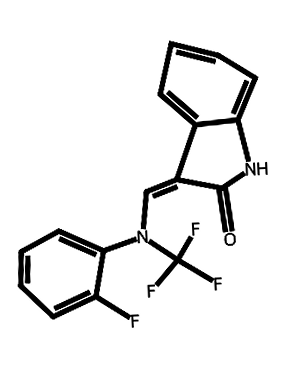 O=C1Nc2ccccc2C1=CN(c1ccccc1F)C(F)(F)F